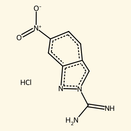 Cl.N=C(N)n1cc2ccc([N+](=O)[O-])cc2n1